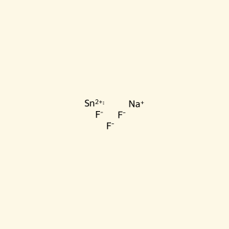 [F-].[F-].[F-].[Na+].[Sn+2]